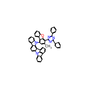 Cc1cc(-n2c3ccccc3c3ccc4c(c5cccc6c7ccccc7n4c65)c32)c2c(oc3ccccc32)c1-c1nc(-c2ccccc2)nc(-c2ccccc2)n1